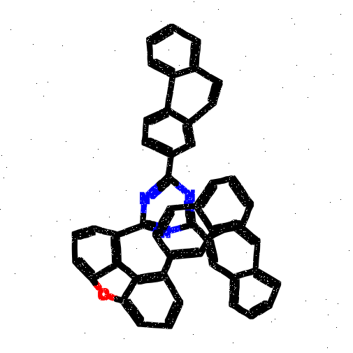 c1ccc2cc(-c3nc(-c4ccc5c(ccc6ccccc65)c4)nc(-c4cccc5oc6cccc(-c7ccc8ccccc8c7)c6c45)n3)ccc2c1